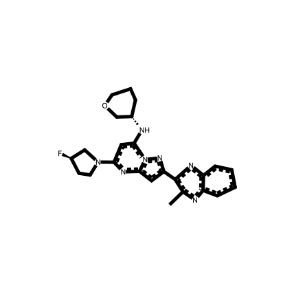 Cc1nc2ccccc2nc1-c1cc2nc(N3CC[C@@H](F)C3)cc(N[C@H]3CCCOC3)n2n1